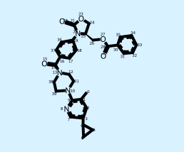 Cc1cc(C2CC2)cnc1N1CCN(C(=O)c2ccc(N3C(=O)OC[C@H]3COC(=O)c3ccccc3)cc2)CC1